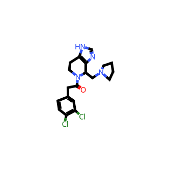 O=C(Cc1ccc(Cl)c(Cl)c1)N1CCc2[nH]cnc2C1CN1CCCC1